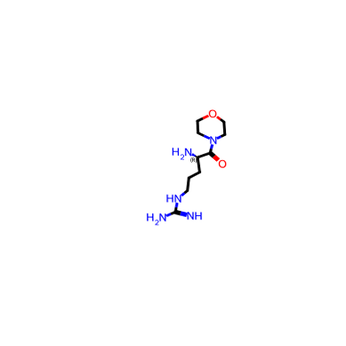 N=C(N)NCCC[C@@H](N)C(=O)N1CCOCC1